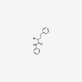 O=C(Nc1ccccc1)C(Br)CCc1ccccc1